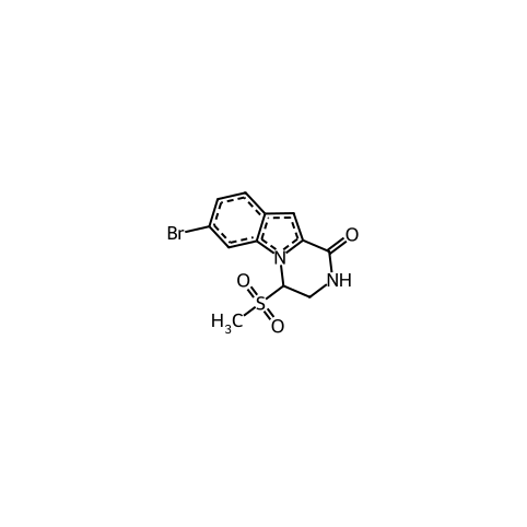 CS(=O)(=O)C1CNC(=O)c2cc3ccc(Br)cc3n21